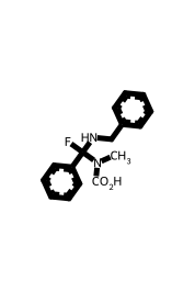 CN(C(=O)O)C(F)(NCc1ccccc1)c1ccccc1